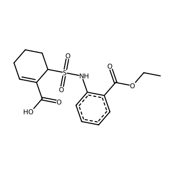 CCOC(=O)c1ccccc1NS(=O)(=O)C1CCCC=C1C(=O)O